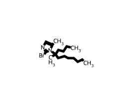 CCCCCCCC(C)(CCCC)n1c(C)cnc1Br